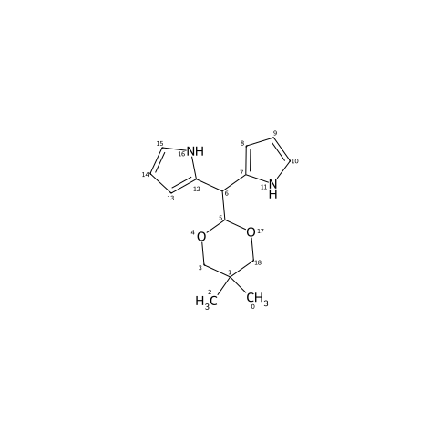 CC1(C)COC(C(c2ccc[nH]2)c2ccc[nH]2)OC1